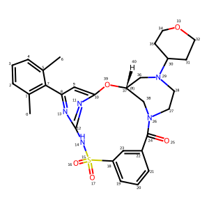 Cc1cccc(C)c1-c1cc2nc(n1)NS(=O)(=O)c1cccc(c1)C(=O)N1CCN(C3CCOCC3)C[C@H](C1)O2